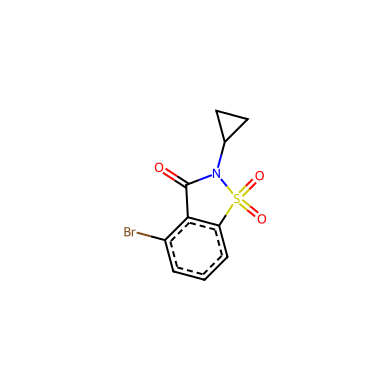 O=C1c2c(Br)cccc2S(=O)(=O)N1C1CC1